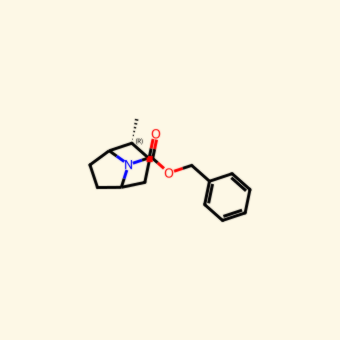 C[C@@H]1CCC2CCC1N2C(=O)OCc1ccccc1